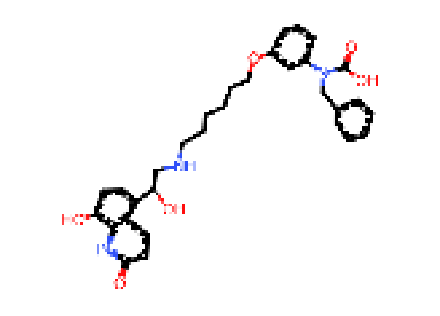 O=C(O)N(Cc1ccccc1)c1cccc(OCCCCCCNC[C@@H](O)c2ccc(O)c3[nH]c(=O)ccc23)c1